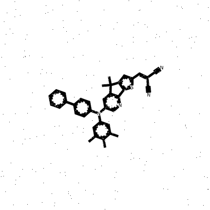 Cc1cc(N(c2ccc(-c3ccccc3)cc2)c2cnc3c(c2)C(C)(C)c2cc(C=C(C#N)C#N)sc2-3)cc(C)c1C